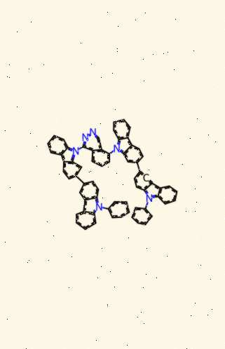 c1ccc(-n2c3ccccc3c3cc(-c4ccc5c6ccccc6n(-c6cccc7c(-n8c9ccccc9c9ccc(-c%10ccc%11c(c%10)c%10ccccc%10n%11-c%10ccccc%10)cc98)nncc67)c5c4)ccc32)cc1